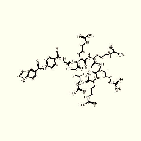 N=C(N)NCCC[C@H](NC(=O)[C@H](CCCNC(=N)N)NC(=O)[C@H](CCCNC(=N)N)NC(=O)[C@H](CCCNC(=N)N)NC(=O)[C@H](CCCNC(=N)N)NC(=O)CNC(=O)c1ccc(NC(=O)c2ccc3[nH]nnc3c2)cc1)C(N)=O